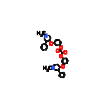 CN1CCC(Oc2cccc(OC(=O)C(=O)Oc3cccc(OC4CCN(C)CC4c4ccccc4)c3)c2)C(c2ccccc2)C1